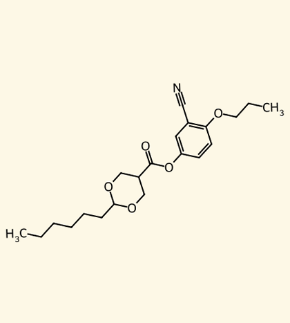 CCCCCCC1OCC(C(=O)Oc2ccc(OCCC)c(C#N)c2)CO1